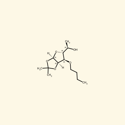 CCCCO[C@H]1[C@H]2OC(C)(C)O[C@H]2O[C@@H]1[C@@H](C)O